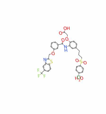 O.O=C(O)COc1ccc(CCCS(=O)(=O)c2ccc(Cl)cc2)cc1NC(=O)c1cccc(OCc2nc3cc(C(F)(F)F)ccc3s2)c1